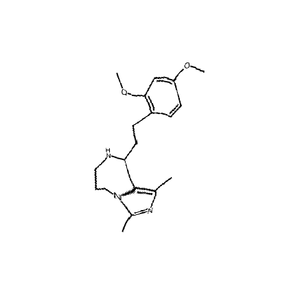 COc1ccc(CCC2NCCn3c(C)nc(C)c32)c(OC)c1